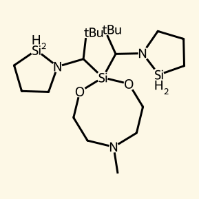 CN1CCO[Si](C(N2CCC[SiH2]2)C(C)(C)C)(C(N2CCC[SiH2]2)C(C)(C)C)OCC1